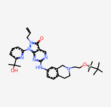 C=CCn1c(=O)c2cnc(Nc3ccc4c(c3)CN(CCO[Si](C)(C)C(C)(C)C)CC4)nc2n1-c1cccc(C(C)(C)O)n1